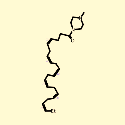 CC/C=C\C/C=C\C/C=C\C/C=C\C/C=C\C/C=C\CCC(=O)N1CCN(C)CC1